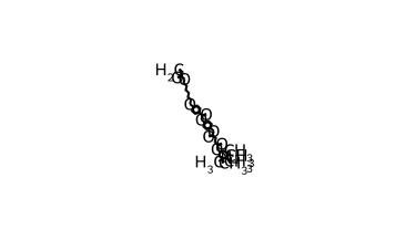 C=CC(=O)OCCCCCCOc1ccc(C(=O)Oc2ccc(OC(=O)CCC(=O)OC3CC(C)(C)N(C)C(C)(C)C3)cc2)cc1